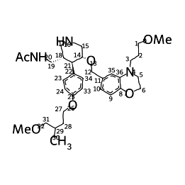 COCCCN1CCOc2ccc(CO[C@H]3CNC[C@@H](CNC(C)=O)[C@@H]3c3ccc(OCCC(C)COC)cc3)cc21